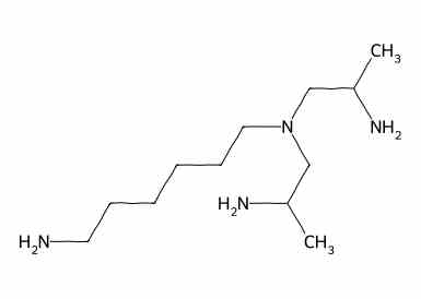 CC(N)CN(CCCCCCN)CC(C)N